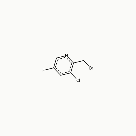 Fc1cnc(CBr)c(Cl)c1